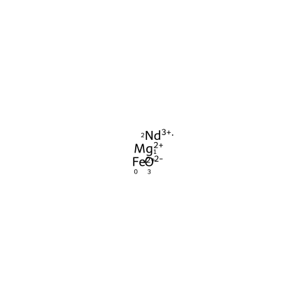 [Fe+2].[Mg+2].[Nd+3].[O-2]